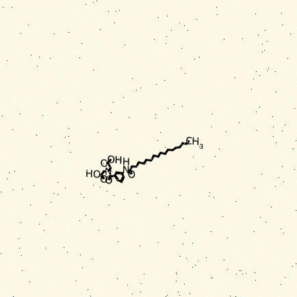 CCCCCCCCCCCCCCCCCC(=O)Nc1cccc(C(=O)N(CC(=O)O)CC(=O)O)c1